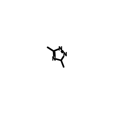 CC1=NC(C)N=N1